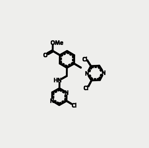 COC(=O)c1ccc(C)c(CNc2cncc(Cl)n2)c1.Clc1cncc(Cl)n1